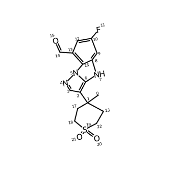 CC1(c2cnn3c2[nH]c2cc(F)cc(C=O)c23)CCS(=O)(=O)CC1